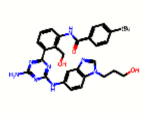 CC(C)(C)c1ccc(C(=O)Nc2cccc(-c3nc(N)nc(Nc4ccc5c(c4)ncn5CCCO)n3)c2CO)cc1